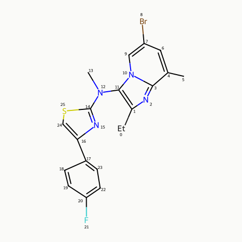 CCc1nc2c(C)cc(Br)cn2c1N(C)c1nc(-c2ccc(F)cc2)cs1